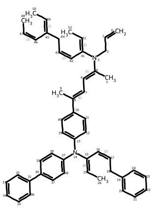 C=CCN(/C(C)=C/C=C(\C)c1ccc(N(C(/C=C\Cc2ccccc2)=C/C)c2ccc(-c3ccccc3)cc2)cc1)C(/C=C\CC(/C=C\C)=C/C)=C/C